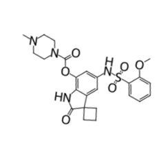 COc1ccccc1S(=O)(=O)Nc1cc(OC(=O)N2CCN(C)CC2)c2c(c1)C1(CCC1)C(=O)N2